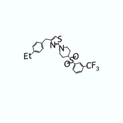 CCc1ccc(Cc2csc(N3CCC(S(=O)(=O)c4cccc(C(F)(F)F)c4)CC3)n2)cc1